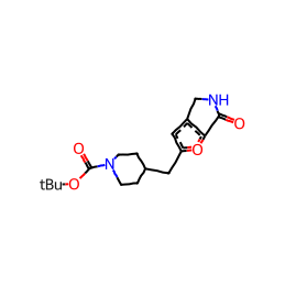 CC(C)(C)OC(=O)N1CCC(Cc2cc3c(o2)C(=O)NC3)CC1